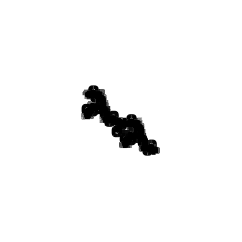 C=CC(=O)OC(C)COCC(COCC(C)OC(=O)CCN(CCO)CCC(=O)OC(C)COCC(COCC(C)OC(=O)C=C)OCC(C)OC(=O)C=C)OCC(C)OC(=O)C=C